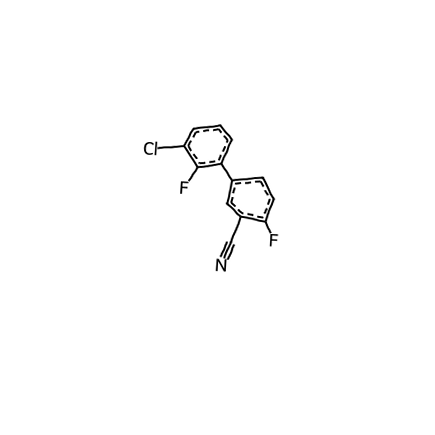 N#Cc1cc(-c2cccc(Cl)c2F)ccc1F